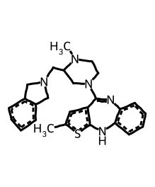 Cc1cc2c(s1)Nc1ccccc1N=C2N1CCN(C)C(CN2Cc3ccccc3C2)C1